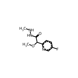 CNNC(=O)C(OC)c1ccc(F)cn1